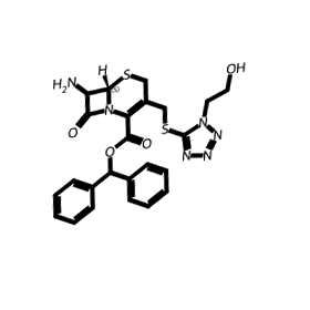 NC1C(=O)N2C(C(=O)OC(c3ccccc3)c3ccccc3)=C(CSc3nnnn3CCO)CS[C@@H]12